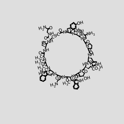 CCCC[C@H]1C(=O)N[C@@H](CC(N)=O)C(=O)N2CCC[C@H]2C(=O)N[C@@H](Cc2c[nH]cn2)C(=O)N[C@@H](CCC(=O)O)C(=O)N2C[C@H](O)C[C@H]2C(=O)N[C@@H]([C@@H](C)c2c[nH]c3ccccc23)C(=O)N[C@@H](CCN)C(=O)N[C@@H](Cc2c[nH]c3ccccc23)C(=O)N(C)[C@@H](C)C(=O)N(C)[C@@H](C)C(=O)N[C@@H](CC(C)C)C(=O)N[C@H](C(=O)NCC(N)=O)CSCC(=O)N[C@@H](Cc2ccc(O)cc2)C(=O)N1C